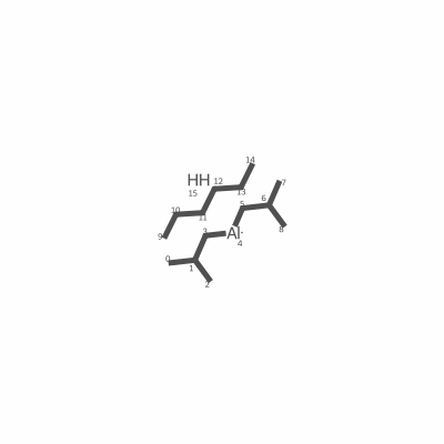 CC(C)[CH2][Al][CH2]C(C)C.CCCCCC.[HH]